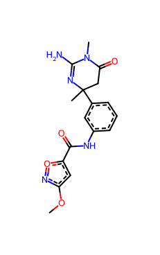 COc1cc(C(=O)Nc2cccc(C3(C)CC(=O)N(C)C(N)=N3)c2)on1